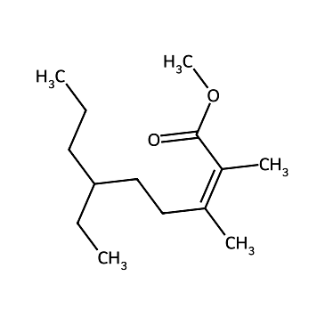 CCCC(CC)CCC(C)=C(C)C(=O)OC